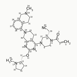 C=CC(=O)N1CCN(c2nc(OC[C@@H]3CCCN3C)nc3c2CCN(c2cccc4c2CCN(C)C4)C3)C[C@@H]1CC#N